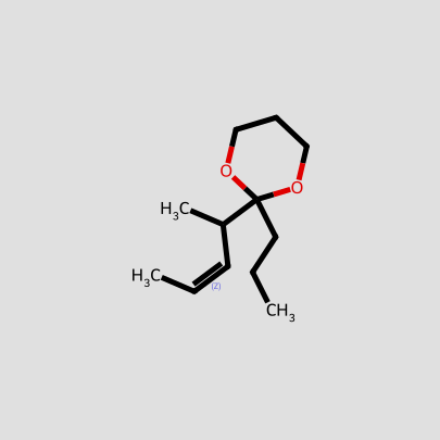 C/C=C\C(C)C1(CCC)OCCCO1